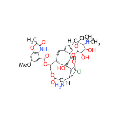 C=C1Oc2cc(OC)cc(C(=O)OC3COC(=O)C[C@H](N)c4cc(Cl)c(c(CO)c4)O[C@@H]4C#C/C=C/3C#CC3=CC=CC34O[C@@H]3OC(C)(C)[C@@H](N(C)C)[C@@H](O)[C@H]3O)c2NC1=O